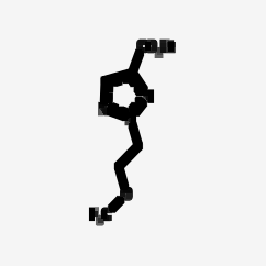 CCOC(=O)c1cnn(CCOC(F)(F)F)n1